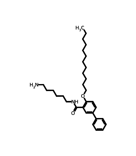 CCCCCCCCCCCCOc1ccc(-c2ccccc2)cc1C(=O)NCCCCCCN